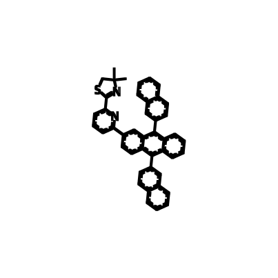 CC1(C)CSC(c2cccc(-c3ccc4c(-c5ccc6ccccc6c5)c5ccccc5c(-c5ccc6ccccc6c5)c4c3)n2)=N1